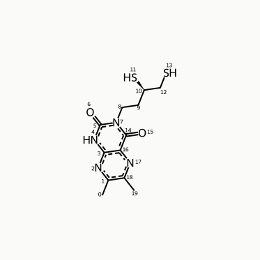 Cc1nc2[nH]c(=O)n(CC[C@@H](S)CS)c(=O)c2nc1C